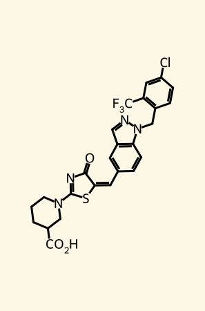 O=C1N=C(N2CCCC(C(=O)O)C2)SC1=Cc1ccc2c(cnn2Cc2ccc(Cl)cc2C(F)(F)F)c1